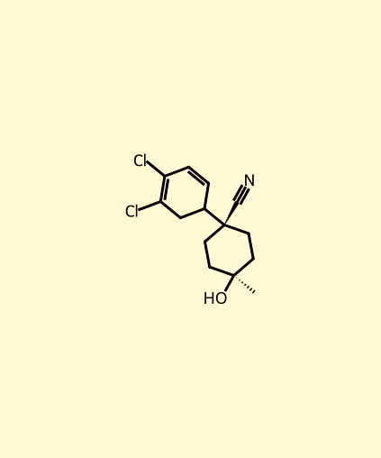 C[C@]1(O)CC[C@](C#N)(C2C=CC(Cl)=C(Cl)C2)CC1